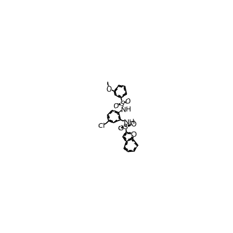 COc1cccc(S(=O)(=O)Nc2ccc(Cl)cc2NS(=O)(=O)c2cc3ccccc3o2)c1